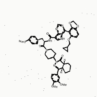 COc1ccc(C[C@@H](NC(=O)c2c[nH]c3c(-c4c(OCC5CC5)ccc5c4OCO5)ncnc23)C(=O)N2CCC(N3N=C(c4ccc(OC)c(OC)c4)[C@H]4CCCC[C@H]4C3=O)CC2)cc1